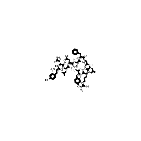 CC(C)C[C@H](NC(=O)CNC(=O)[C@H](Cc1ccccc1)NC(=O)[C@H](CO)NC(=O)[C@H](CC(N)=O)NC(=O)[C@H](CC(C)C)NC(=O)[C@H](CC(N)=O)NC(=O)[C@@H](N)Cc1ccc(O)cc1)C(=O)N[C@@H](CCCNC(=N)N)C(=O)N[C@@H](Cc1ccc(O)cc1)C(N)=O